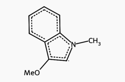 COc1[c]n(C)c2ccccc12